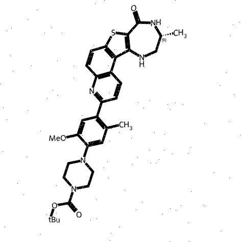 COc1cc(-c2ccc3c(ccc4sc5c(c43)NC[C@@H](C)NC5=O)n2)c(C)cc1N1CCN(C(=O)OC(C)(C)C)CC1